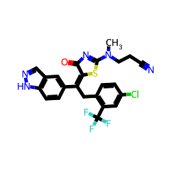 CN(CCC#N)C1=NC(=O)C(=C(Cc2ccc(Cl)cc2C(F)(F)F)c2ccc3[nH]ncc3c2)S1